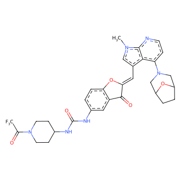 Cn1cc(/C=C2\Oc3ccc(NC(=O)NC4CCN(C(=O)C(F)(F)F)CC4)cc3C2=O)c2c(N3CC4CCC(C3)O4)ccnc21